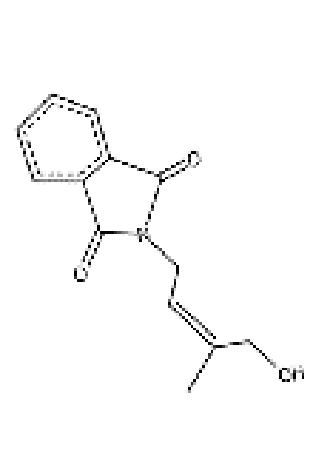 CC(=CCN1C(=O)c2ccccc2C1=O)CO